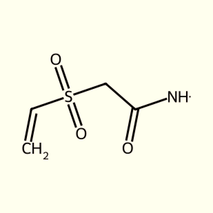 C=CS(=O)(=O)CC([NH])=O